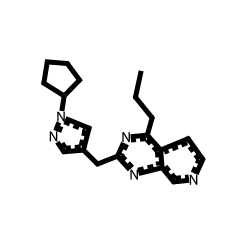 CCCc1nc(Cc2cnn(C3CCCC3)c2)nc2cnccc12